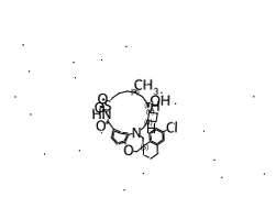 C[C@@H]1CCCS(=O)(=O)NC(=O)c2ccc3c(c2)N(C[C@@H]2CC[C@H]2[C@H](O)C1)C[C@@]1(CCCc2cc(Cl)ccc21)CO3